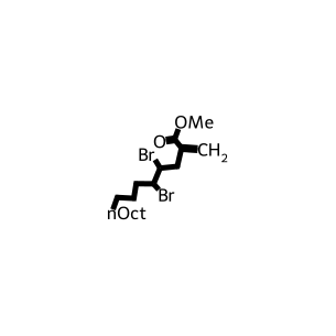 C=C(CC(Br)C(Br)CCCCCCCCCCC)C(=O)OC